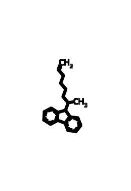 C=CCCCCC(C)C1c2ccccc2-c2ccccc21